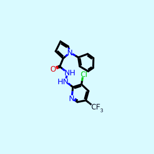 O=C(NNc1ncc(C(F)(F)F)cc1Cl)c1cccn1-c1ccccc1